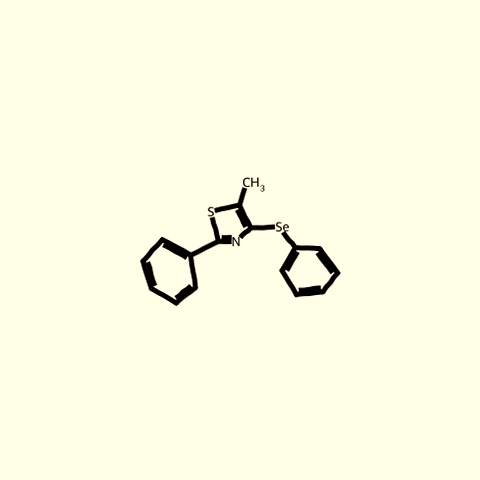 Cc1sc(-c2ccccc2)nc1[Se]c1ccccc1